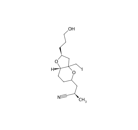 C[C@@H](C#N)CC1CC[C@@H]2O[C@@H](CCCO)CC2(CI)O1